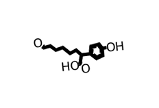 O=CCCCCCC(C(=O)O)c1ccc(O)cc1